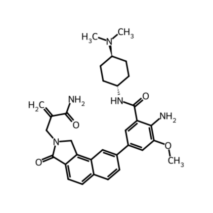 C=C(CN1Cc2c(ccc3ccc(-c4cc(OC)c(N)c(C(=O)N[C@H]5CC[C@H](N(C)C)CC5)c4)cc23)C1=O)C(N)=O